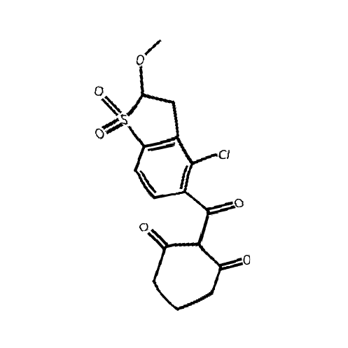 COC1Cc2c(ccc(C(=O)C3C(=O)CCCC3=O)c2Cl)S1(=O)=O